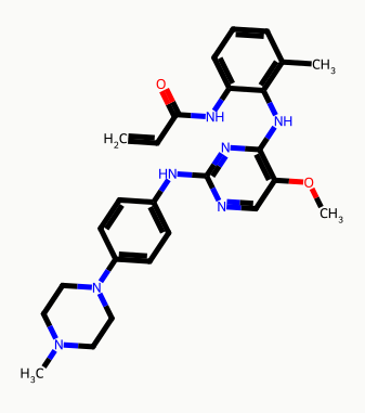 C=CC(=O)Nc1cccc(C)c1Nc1nc(Nc2ccc(N3CCN(C)CC3)cc2)ncc1OC